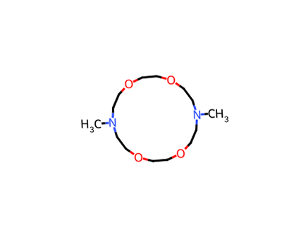 CN1CCOCCOCCN(C)CCOCCOCC1